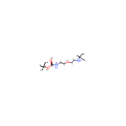 CC(C)(C)NCCOCCNC(=O)OC(C)(C)C